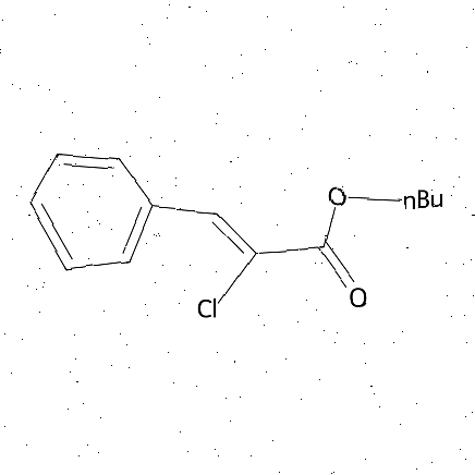 CCCCOC(=O)C(Cl)=Cc1ccccc1